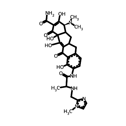 CC(NCc1nccn1C)C(=O)Nc1ccc2c(c1O)C(=O)C1=C(O)C3(O)C(=O)C(C(N)=O)=C(O)[C@@H](N(C)C)C3CC1C2